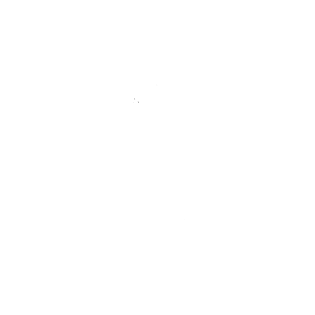 CN1CCC(Cc2ccccc2-c2ccc3sccc3c2)C1